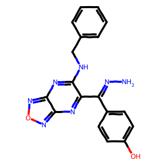 NN=C(c1ccc(O)cc1)c1nc2nonc2nc1NCc1ccccc1